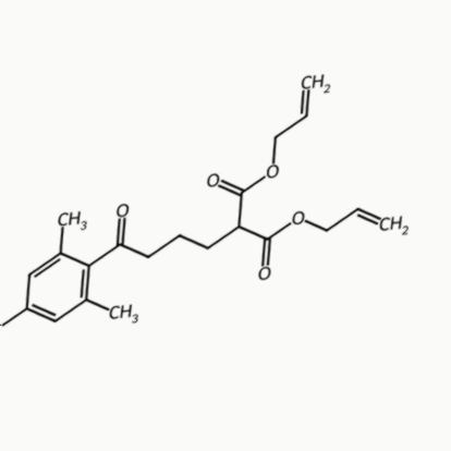 C=CCOC(=O)C(CCCC(=O)c1c(C)cc(C)cc1C)C(=O)OCC=C